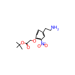 CC(C)(C)OC(=O)COc1ccc(CCN)cc1[N+](=O)[O-]